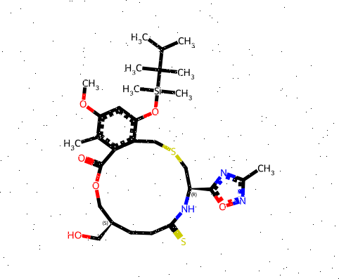 COc1cc(O[Si](C)(C)C(C)(C)C(C)C)c2c(c1C)C(=O)OC[C@H](CO)CCC(=S)N[C@H](c1nc(C)no1)CSC2